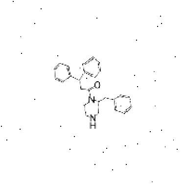 O=C(CC(c1ccccc1)c1ccccc1)N1CCNCC1Cc1ccccc1